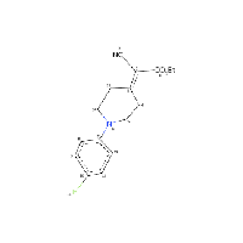 CCOC(=O)C(C#N)=C1CCN(c2ccc(F)cc2)CC1